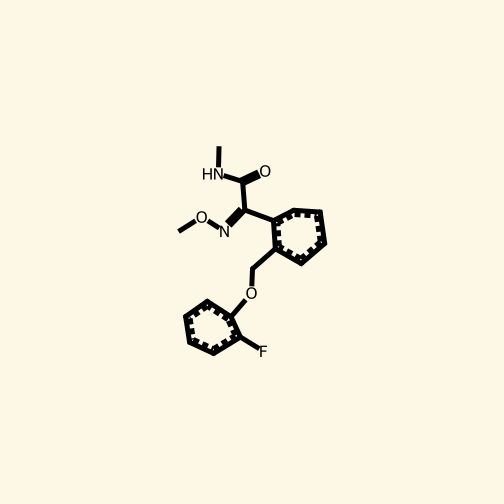 CNC(=O)C(=NOC)c1ccccc1COc1ccccc1F